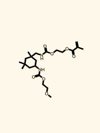 C=C(C)C(=O)OCCOC(=O)NCC1(C)CC(NC(=O)OCCOC)CC(C)(C)C1